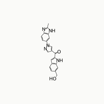 Cc1nc2ccc(-n3cc(C(=O)c4cc5ccc(CO)cc5[nH]4)cn3)cc2[nH]1